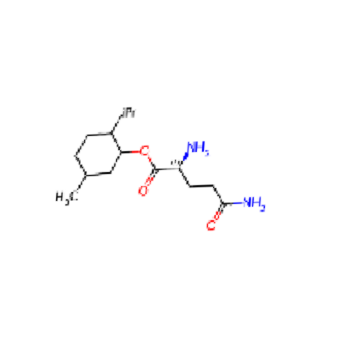 CC1CCC(C(C)C)C(OC(=O)[C@@H](N)CCC(N)=O)C1